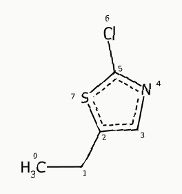 CCc1cnc(Cl)s1